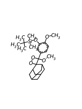 COc1ccc(C2(OC)OOC23C2CC4CC(C2)CC3C4)cc1O[Si](C)(C)C(C)(C)C